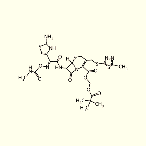 CNC(=O)ON=C(C(=O)NC1C(=O)N2C(C(=O)OCOC(=O)C(C)(C)C)=C(CSc3nnc(C)s3)CS[C@@H]12)C1=CSC(N)N1